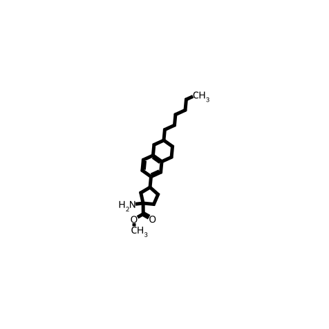 CCCCCCC1CCc2cc(C3CCC(N)(C(=O)OC)C3)ccc2C1